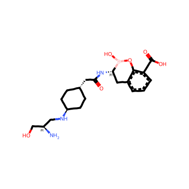 N[C@@H](CO)CN[C@H]1CC[C@H](CC(=O)N[C@H]2Cc3cccc(C(=O)O)c3OB2O)CC1